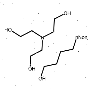 CCCCCCCCCCCCCO.OCCN(CCO)CCO